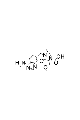 COCC1C(=O)N(Cc2ccc3c(N)ncnc3c2)C(C)CN1C(=O)O